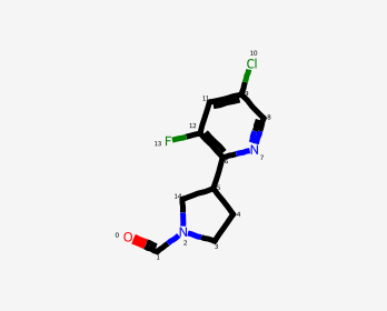 O=CN1CCC(c2ncc(Cl)cc2F)C1